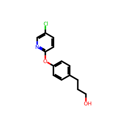 OCCCc1ccc(Oc2ccc(Cl)cn2)cc1